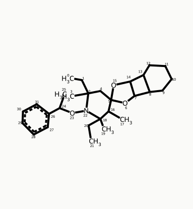 CCC1(C)CC2(OC3C4CCCCC4C3O2)C(C)C(C)(CC)N1OC(C)c1ccccc1